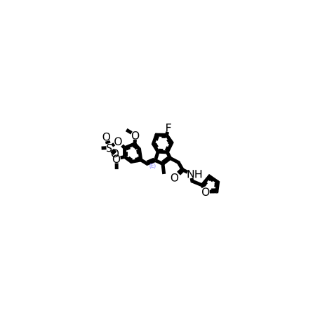 COc1cc(/C=C2/C(C)=C(CC(=O)NCc3ccco3)c3cc(F)ccc32)cc(OC)c1OS(C)(=O)=O